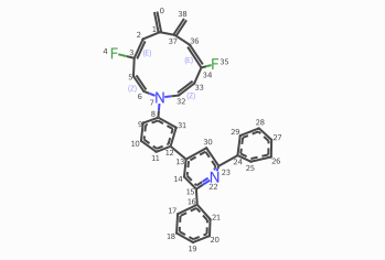 C=C1/C=C(F)\C=C/N(c2cccc(-c3cc(-c4ccccc4)nc(-c4ccccc4)c3)c2)/C=C\C(F)=C/C1=C